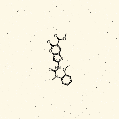 COC(=O)c1cc2sc(NC(=O)N(C)c3ccccc3OC)cc2oc1=O